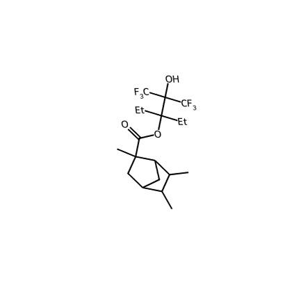 CCC(CC)(OC(=O)C1(C)CC2CC1C(C)C2C)C(O)(C(F)(F)F)C(F)(F)F